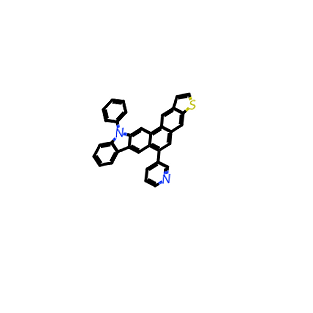 c1ccc(-n2c3ccccc3c3cc4c(-c5cccnc5)cc5cc6sccc6cc5c4cc32)cc1